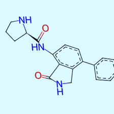 O=C1NCc2c(-c3ccccc3)ccc(NC(=O)[C@H]3CCCN3)c21